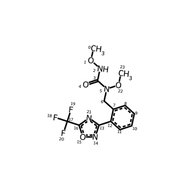 CONC(=O)N(Cc1ccccc1-c1noc(C(F)(F)F)n1)OC